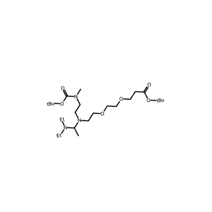 CCN(CC)C(C)N(CCOCCOCCC(=O)OC(C)(C)C)CCN(C)C(=O)OC(C)(C)C